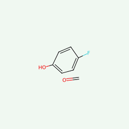 C=O.Oc1ccc(F)cc1